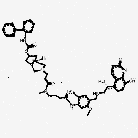 COc1cc(NC(=O)CCCN(C)C(=O)CCN2CC3CC(OC(=O)Nc4ccccc4-c4ccccc4)C[C@@H]3C2)c(Cl)cc1CNC[C@H](O)c1ccc(O)c2[nH]c(=O)ccc12